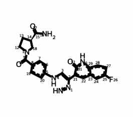 N=N/C(=C\Nc1ccc(C(=O)N2CC[C@@H](C(N)=O)C2)cc1)c1cc2cc(F)ccc2[nH]c1=O